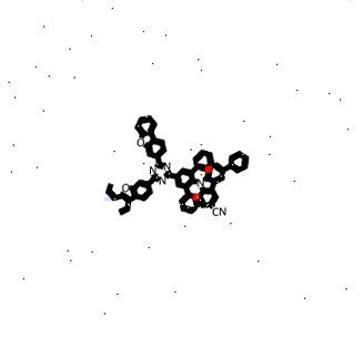 C=Cc1c(/C=C\C)oc2cc(-c3nc(-c4cc(-c5ccccc5)c(-n5c6ccc(C#N)cc6c6cc(-c7ccccc7)ccc65)c(-c5ccccc5)c4)nc(-c4ccc5c(c4)oc4ccccc45)n3)ccc12